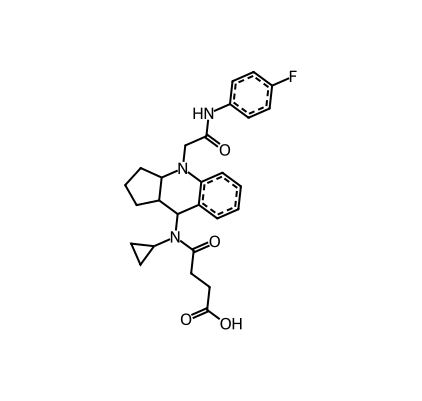 O=C(O)CCC(=O)N(C1CC1)C1c2ccccc2N(CC(=O)Nc2ccc(F)cc2)C2CCCC21